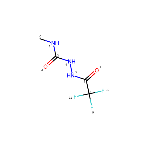 CNC(=O)NNC(=O)C(F)(F)F